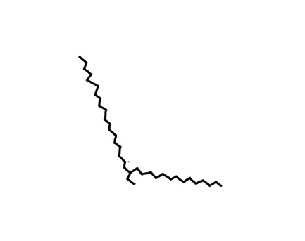 CCCCCCCCCCCCCCCCC[CH]CC(CC)CCCCCCCCCCCCCC